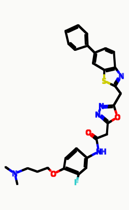 CN(C)CCCOc1ccc(NC(=O)Cc2nnc(Cc3nc4ccc(-c5ccccc5)cc4s3)o2)cc1F